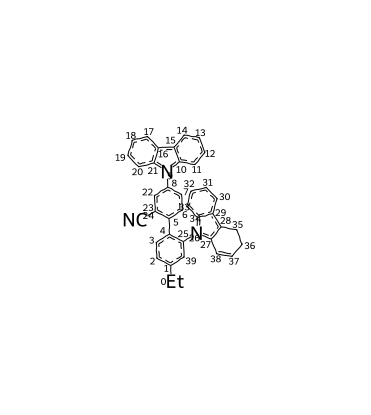 CCc1ccc(-c2ccc(-n3c4ccccc4c4ccccc43)cc2C#N)c(-n2c3c(c4ccccc42)CCC=C3)c1